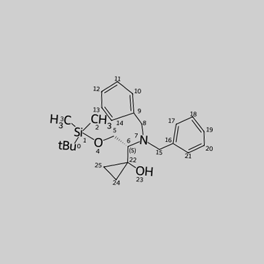 CC(C)(C)[Si](C)(C)OC[C@H](N(Cc1ccccc1)Cc1ccccc1)C1(O)CC1